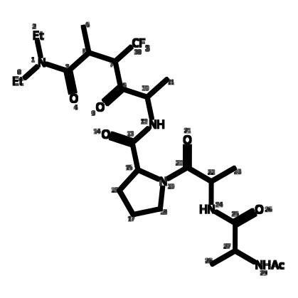 CCN(CC)C(=O)C(C)C(C(=O)C(C)NC(=O)C1CCCN1C(=O)C(C)NC(=O)C(C)NC(C)=O)C(F)(F)F